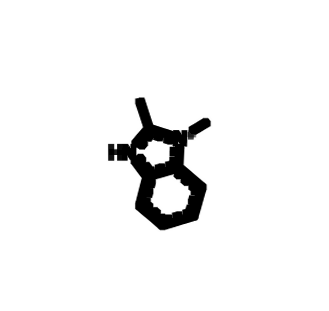 Cc1[nH]c2ccccc2[n+]1C